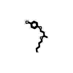 [CH2]CCCCOC(C)CCOc1ccc(Cl)cc1